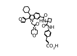 O=C(O)C=Cc1ccc(NC(=O)C2(NC(=O)c3ccc4c(C5CCCCC5)c(-c5ccoc5)n(CC(=O)N5CCOCC5)c4c3)CCC2)cc1